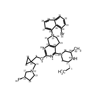 CC[C@@H]1CN(c2nc(OCC3(CN4CC[C@@H](F)C4)CC3)nc3c2CCN(c2cccc4cccc(Br)c24)C3)C[C@@H](C)N1